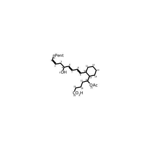 CCCCC/C=C\CC(O)/C=C/C=C/C1CCCCC1C(CCCC(=O)O)OC(C)=O